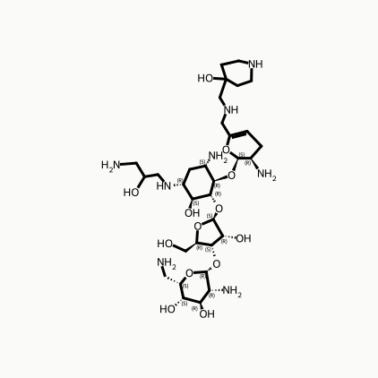 NCC(O)CN[C@@H]1C[C@H](N)[C@@H](O[C@H]2OC(CNCC3(O)CCNCC3)=CC[C@H]2N)[C@H](O[C@@H]2O[C@H](CO)[C@@H](O[C@H]3O[C@@H](CN)[C@@H](O)[C@H](O)[C@H]3N)[C@H]2O)[C@H]1O